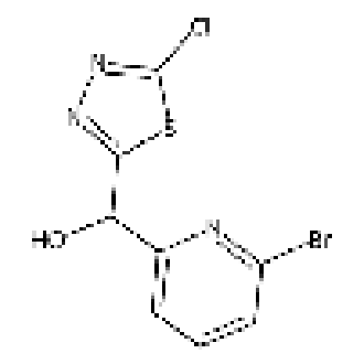 OC(c1cccc(Br)n1)c1nnc(Cl)s1